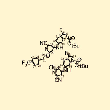 CC(C)(C)OC(=O)n1cc(F)c2ccc(Nc3cc(C#N)nc(OCCc4ccc(C(F)(F)F)cc4)c3)cc21.CC(C)(C)OC(=O)n1cc(F)c2ccc(Nc3cc(Cl)nc(C#N)c3)cc21